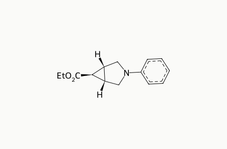 CCOC(=O)[C@H]1[C@@H]2CN(c3ccccc3)C[C@@H]21